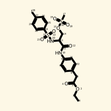 CCOC(=O)Cc1ccc(NC(=O)C(COS(C)(=O)=O)NS(=O)(=O)c2ccc(I)cc2)cc1